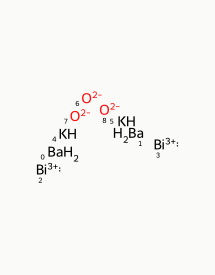 [BaH2].[BaH2].[Bi+3].[Bi+3].[KH].[KH].[O-2].[O-2].[O-2]